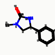 CCN1C[C@H](c2ccccc2)NC1=O